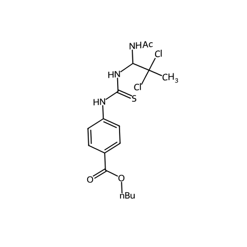 CCCCOC(=O)c1ccc(NC(=S)NC(NC(C)=O)C(C)(Cl)Cl)cc1